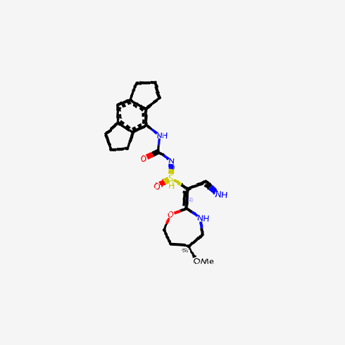 CO[C@H]1CCO/C(=C(/C=N)[SH](=O)=NC(=O)Nc2c3c(cc4c2CCC4)CCC3)NC1